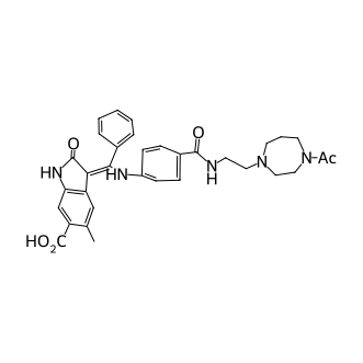 CC(=O)N1CCCN(CCNC(=O)c2ccc(N/C(=C3/C(=O)Nc4cc(C(=O)O)c(C)cc43)c3ccccc3)cc2)CC1